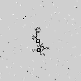 COC(=O)CCC(c1ccc(S(=O)(=O)N(CC(C)C)c2cc(C)cc(C)c2)cc1)[N+](=O)[O-]